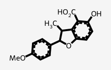 COc1ccc(C2Oc3ccc(O)c(C(=O)O)c3C2C)cc1